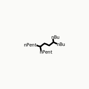 CCCCC[C](CCCCC)CCC(CCCC)CCCC